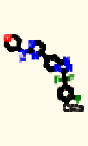 COc1ccc(C(F)(F)c2nnc3cc(-c4ccnc(NC5CCOCC5)n4)ccn23)cc1F